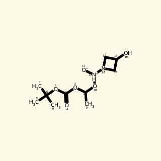 CC(OC(=O)OC(C)(C)C)O[NH+]([O-])N1CC(O)C1